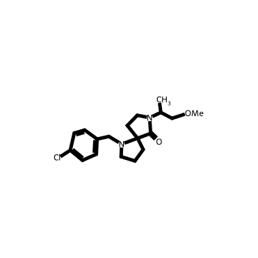 COCC(C)N1CCC2(CCCN2Cc2ccc(Cl)cc2)C1=O